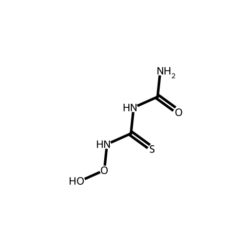 NC(=O)NC(=S)NOO